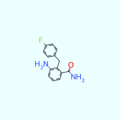 NC(=O)c1cccc(N)c1Cc1ccc(F)cc1